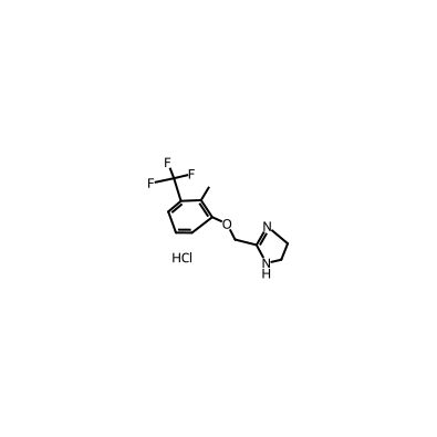 Cc1c(OCC2=NCCN2)cccc1C(F)(F)F.Cl